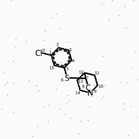 Clc1cccc(SC2CN3CCC2CC3)c1